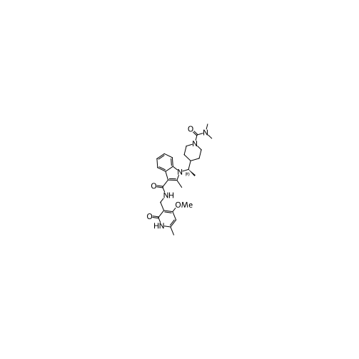 COc1cc(C)[nH]c(=O)c1CNC(=O)c1c(C)n([C@H](C)C2CCN(C(=O)N(C)C)CC2)c2ccccc12